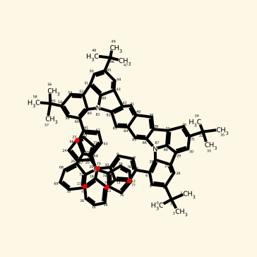 CC(C)(C)c1cc(-c2ccc3c(c2)c2ccccc2n3-c2ccccc2)c2c(c1)c1cc(C(C)(C)C)cc3c4cc5cc6c7cc(C(C)(C)C)cc8c9cc(C(C)(C)C)cc(-c%10ccc%11c(c%10)c%10ccccc%10n%11-c%10ccccc%10)c9n(c6cc5cc4n2c31)c78